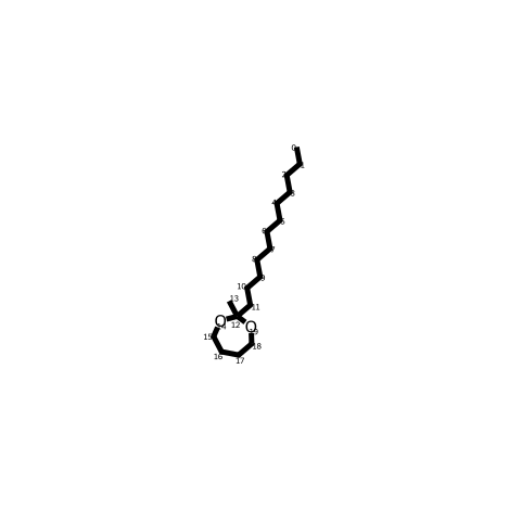 CCCCCCCCCCCCC1(C)OCCCCO1